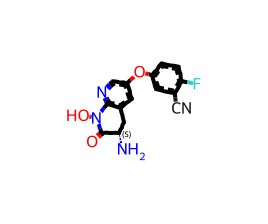 N#Cc1cc(Oc2cnc3c(c2)C[C@H](N)C(=O)N3O)ccc1F